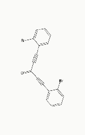 O=C(C#Cc1ccccc1Br)C#Cc1ccccc1Br